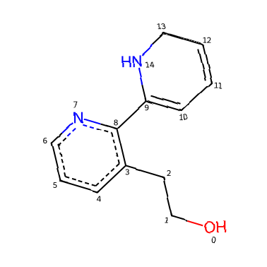 OCCc1cccnc1C1=CC=CCN1